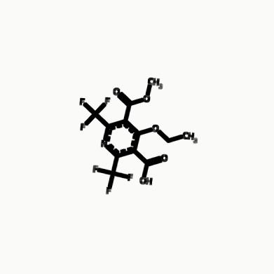 CCOc1c(C(=O)O)c(C(F)(F)F)nc(C(F)(F)F)c1C(=O)OC